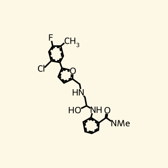 CNC(=O)c1ccccc1NC(O)CNCc1ccc(-c2cc(C)c(F)cc2Cl)o1